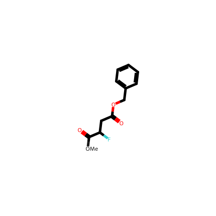 COC(=O)C(F)CC(=O)OCc1ccccc1